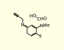 C#CCN=C1C=C(NC)C(F)=CC1.O=CO